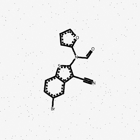 N#Cc1c(N(C=O)c2ccco2)sc2ccc(Br)cc12